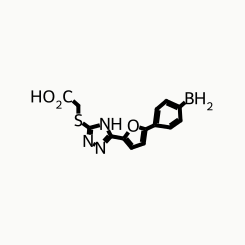 Bc1ccc(-c2ccc(-c3nnc(SCC(=O)O)[nH]3)o2)cc1